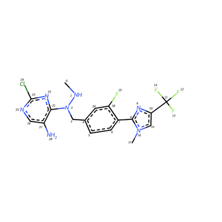 CNN(Cc1ccc(-c2nc(C(F)(F)F)cn2C)c(F)c1)c1nc(Cl)ncc1N